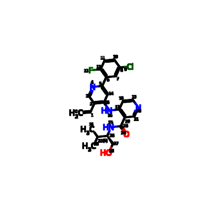 C=Cc1cnc(-c2cc(Cl)ccc2F)cc1Nc1ccncc1C(=O)N[C@@H](CO)C(C)C